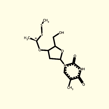 CSS[C@H](C)OC1CC(n2cc(C)c(=O)[nH]c2=O)OC1CO